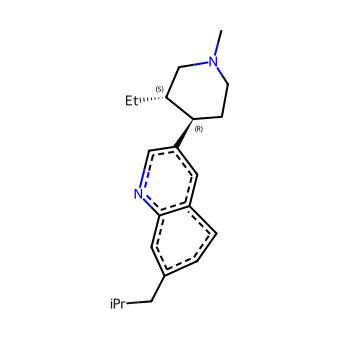 CC[C@@H]1CN(C)CC[C@H]1c1cnc2cc(CC(C)C)ccc2c1